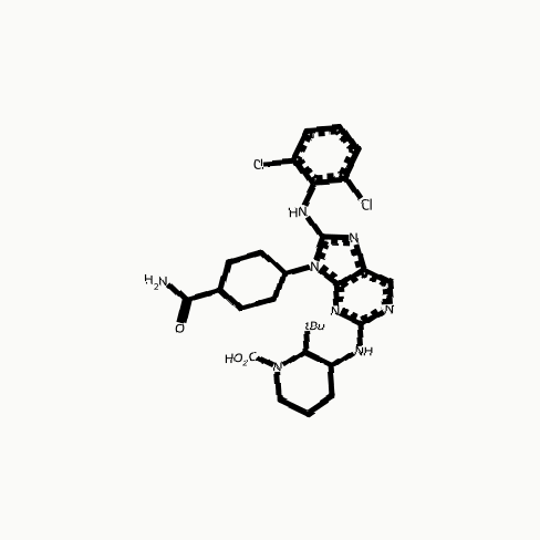 CC(C)(C)C1C(Nc2ncc3nc(Nc4c(Cl)cccc4Cl)n(C4CCC(C(N)=O)CC4)c3n2)CCCN1C(=O)O